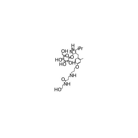 Cc1cc(OCCCNCCC(=O)NCCO)ccc1Cc1c(O[C@@H]2O[C@H](CO)[C@@H](O)[C@H](O)[C@H]2O)n[nH]c1C(C)C